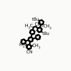 CC1=C(c2cc(C(C)(C)C)ccc2C(C)C(C)c2ccc(-c3cc(-c4ccccc4)c(-c4c(C)cc(C#N)cc4C)cc3-c3ccccc3)cc2)C=C(C(C)(C)C)CC1